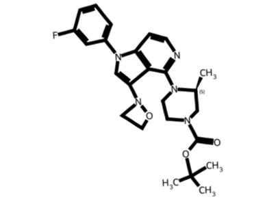 C[C@H]1CN(C(=O)OC(C)(C)C)CCN1c1nccc2c1c(N1CCO1)cn2-c1cccc(F)c1